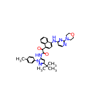 Cc1ccc(-n2nc(C(C)(C)C)cc2NC(=O)C(=O)c2ccc(Nc3ccnc(N4CCOCC4)n3)c3ccccc23)cc1